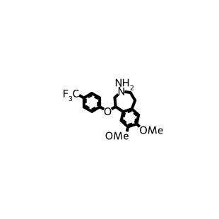 COc1cc2c(cc1OC)C(Oc1ccc(C(F)(F)F)cc1)CN(N)CC2